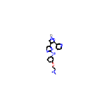 CCn1cc(-c2ccnc(Nc3cccc(OCCN(C)C)c3)n2)c(-c2cccnc2)n1